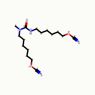 CN(CCCCCCOC#N)C(=O)NCCCCCCOC#N